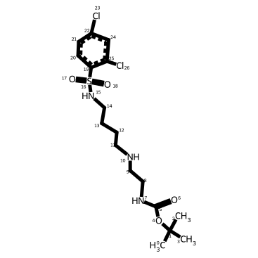 CC(C)(C)OC(=O)NCCNCCCCNS(=O)(=O)c1ccc(Cl)cc1Cl